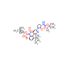 CC(C)(C)OC(=O)N[C@H]1CCN(c2ccc(-c3c(N(C(=O)O)C(OCC[Si](C)(C)C)=S(=O)=O)cccc3C(C)(C)C)cn2)C1=O